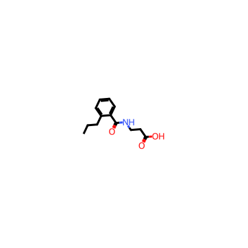 CCCc1ccccc1C(=O)NCCC(=O)O